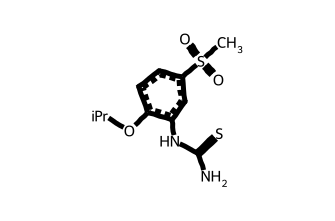 CC(C)Oc1ccc(S(C)(=O)=O)cc1NC(N)=S